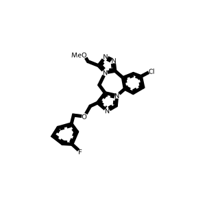 COCc1nnc2n1Cc1c(COCc3cccc(F)c3)ncn1-c1ccc(Cl)cc1-2